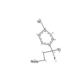 CCC(F)(CCNC)c1ccc(C#N)cc1